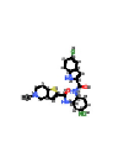 CN1CCc2sc(C(=O)N[C@@H]3CCCC[C@@H]3NC(=O)c3cc4cc(Cl)ccc4[nH]3)cc2C1.Cl